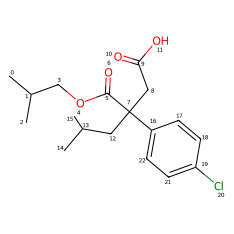 CC(C)COC(=O)C(CC(=O)O)(CC(C)C)c1ccc(Cl)cc1